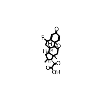 CC1C[C@H]2[C@@H]3CC(F)C4=CC(=O)C=C[C@]4(C)[C@]34OC4C[C@]2(C)[C@H]1C(=O)C(=O)O